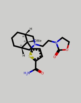 CO[C@]1(c2ccc(C(N)=O)s2)[C@@H]2CCC[C@H]1CN(CCN1CCOC1=O)C2